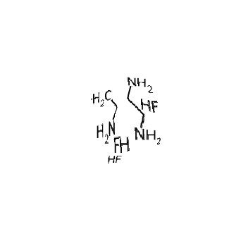 F.F.F.NCCN.[CH2]CN